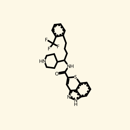 O=C(NC(CCCc1ccccc1C(F)(F)F)C1CCNCC1)C1=Cc2n[nH]c3cccc(c23)S1